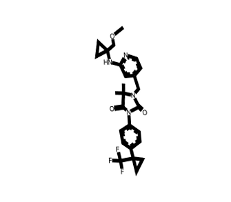 COCC1(Nc2cc(CN3C(=O)N(c4ccc(C5(C(F)(F)F)CC5)cc4)C(=O)C3(C)C)ccn2)CC1